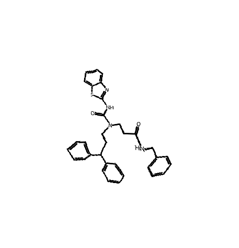 O=C(CCN(CCC(c1ccccc1)c1ccccc1)C(=O)Nc1nc2ccccc2s1)NCc1ccccc1